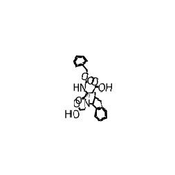 CC1Cc2ccccc2C1N(CC(=O)O)C(=O)[C@H](CC(=O)O)NC(=O)OCc1ccccc1